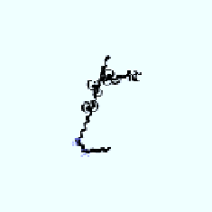 CCCCC/C=C\C/C=C\CCCCCCCC(=O)OCCCOC(=O)CCC(CCCCCC)OC(=O)OCCCN(CC)CC